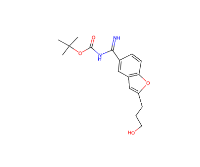 CC(C)(C)OC(=O)NC(=N)c1ccc2oc(CCCO)cc2c1